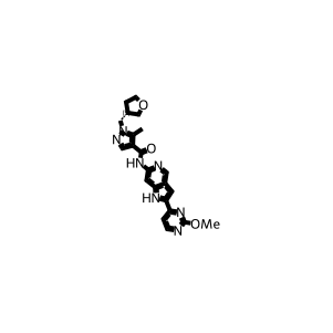 COc1nccc(-c2cc3cnc(NC(=O)c4cnn(C[C@@H]5CCOC5)c4C)cc3[nH]2)n1